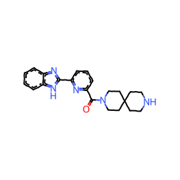 O=C(c1cccc(-c2nc3ccccc3[nH]2)n1)N1CCC2(CCNCC2)CC1